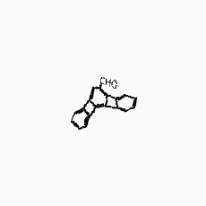 O=[C]c1cc2c3ccccc3c2c2c3ccccc3c12